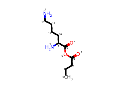 CCCC(=O)OC(=O)C(N)CCCCN